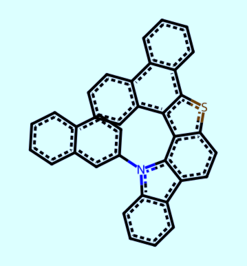 c1ccc2cc(-n3c4ccccc4c4ccc5sc6c7ccccc7c7ccccc7c6c5c43)ccc2c1